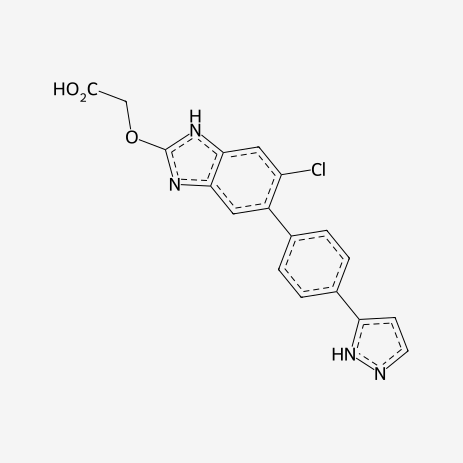 O=C(O)COc1nc2cc(-c3ccc(-c4ccn[nH]4)cc3)c(Cl)cc2[nH]1